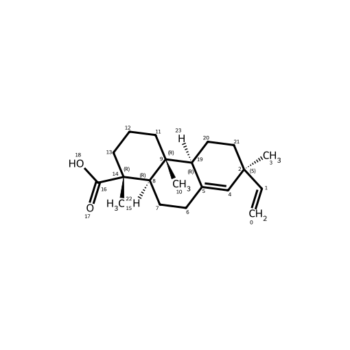 C=C[C@@]1(C)C=C2CC[C@@H]3[C@](C)(CCC[C@@]3(C)C(=O)O)[C@H]2CC1